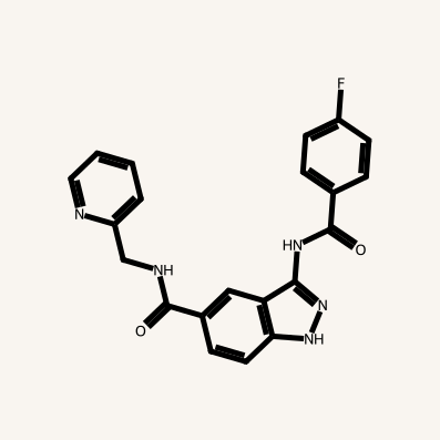 O=C(NCc1ccccn1)c1ccc2[nH]nc(NC(=O)c3ccc(F)cc3)c2c1